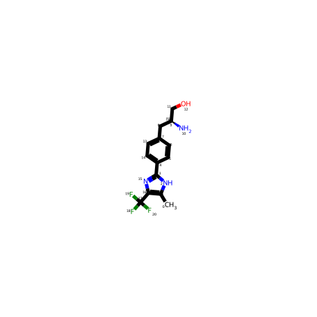 Cc1[nH]c(-c2ccc(C[C@H](N)CO)cc2)nc1C(F)(F)F